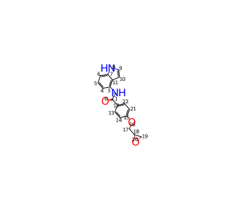 O=C(Nc1cccc2[nH]ccc12)c1ccc(OCC2CO2)cc1